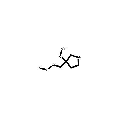 CCCOC1(COOCC)CCNC1